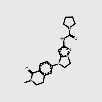 CN1CCc2cc(N3CCn4nc(NC(=O)N5CCCC5)cc43)ccc2C1=O